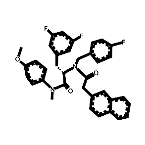 COc1ccc(N(C)C(=O)[C@H](Cc2cc(F)cc(F)c2)N(Cc2ccc(F)cc2)C(=O)Cc2ccc3ccccc3c2)cc1